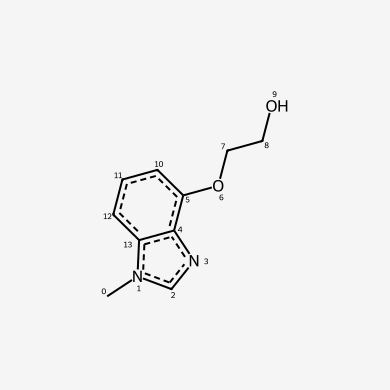 Cn1cnc2c(OCCO)cccc21